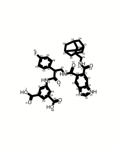 O=C(O)c1cc(NC(=O)C(CNC(=O)c2cc3nc[nH]c3cc2C(=O)NCC23CC4CC(CC(C4)C2)C3)c2ccc(F)cc2)cc(C(=O)O)c1